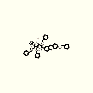 Cc1ccc(C(=O)[C@H](OCc2ccccc2)[C@@H](O)[C@H](OCc2ccccc2)C(C)(COCc2ccccc2)O[Si](C)(C)C)cc1Cc1ccc(OCc2ccccc2)cc1